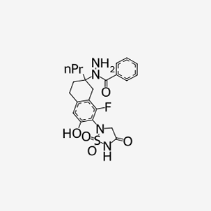 CCCC1(N(N)C(=O)c2ccccc2)CCc2cc(O)c(N3CC(=O)NS3(=O)=O)c(F)c2C1